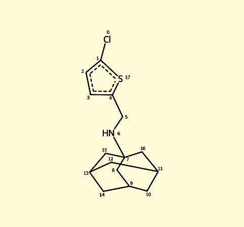 Clc1ccc(CNC23CC4CC(CC(C4)C2)C3)s1